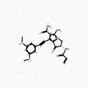 C=CC(=O)N[C@H]1Cn2c(N)c(C(N)=O)c(C#Cc3cc(OC)cc(OC)c3)c2C1=O